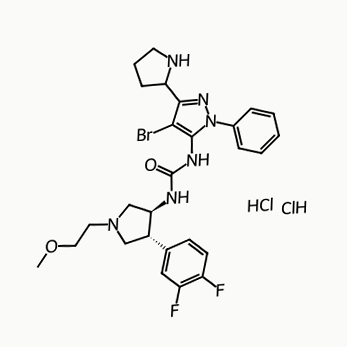 COCCN1C[C@@H](NC(=O)Nc2c(Br)c(C3CCCN3)nn2-c2ccccc2)[C@H](c2ccc(F)c(F)c2)C1.Cl.Cl